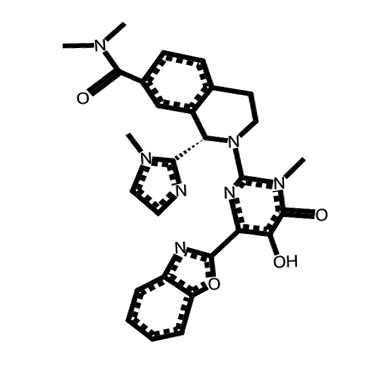 CN(C)C(=O)c1ccc2c(c1)[C@@H](c1nccn1C)N(c1nc(-c3nc4ccccc4o3)c(O)c(=O)n1C)CC2